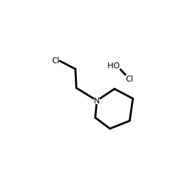 ClCCN1CCCCC1.OCl